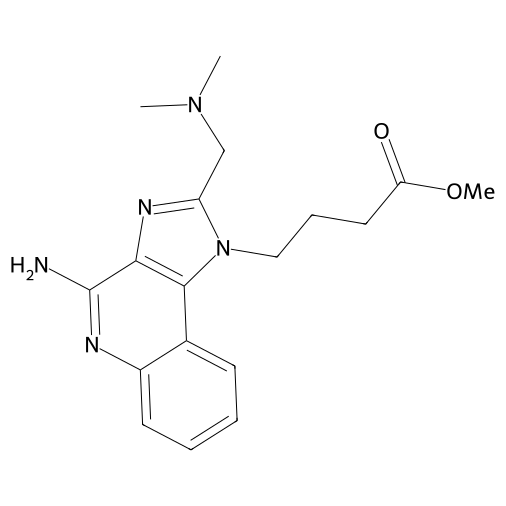 COC(=O)CCCn1c(CN(C)C)nc2c(N)nc3ccccc3c21